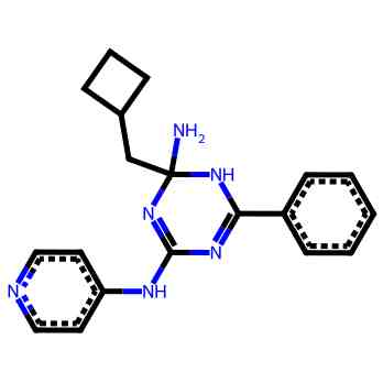 NC1(CC2CCC2)N=C(Nc2ccncc2)N=C(c2ccccc2)N1